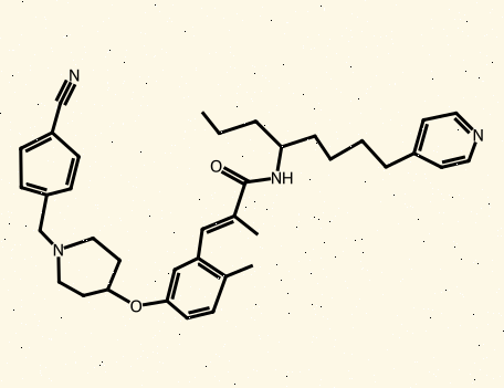 CCCC(CCCCc1ccncc1)NC(=O)/C(C)=C/c1cc(OC2CCN(Cc3ccc(C#N)cc3)CC2)ccc1C